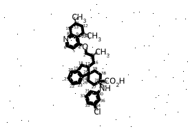 C[C@@H](COc1ccnc2c1[C@@H](C)C[C@@H](C)C2)CC1Cc2ccccc2C12CCC(Nc1cccc(Cl)c1)(C(=O)O)CC2